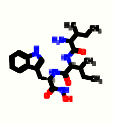 CCC(C)C(N)C(=O)N[C@H](C(=O)N[C@@H](Cc1c[nH]c2ccccc12)C(=O)NO)C(C)CC